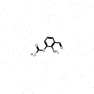 CC(=O)Oc1cccc(C=O)c1N